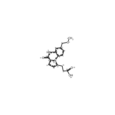 COCc1ccc2c(c1)[nH]c(=O)c1ccc(CCC(=O)O)n12